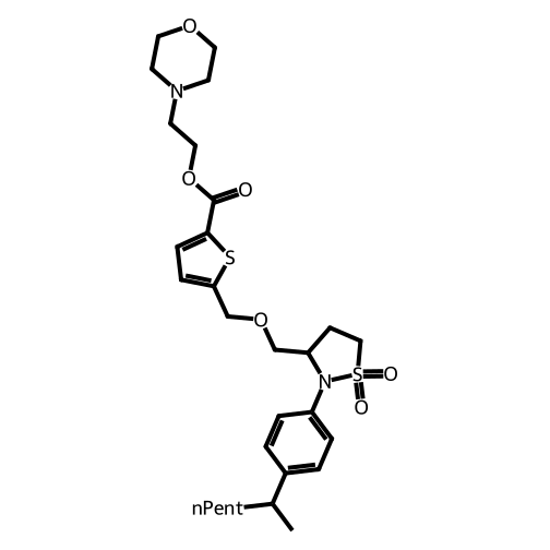 CCCCCC(C)c1ccc(N2C(COCc3ccc(C(=O)OCCN4CCOCC4)s3)CCS2(=O)=O)cc1